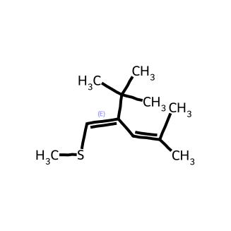 CS/C=C(\C=C(C)C)C(C)(C)C